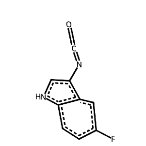 O=C=Nc1c[nH]c2ccc(F)cc12